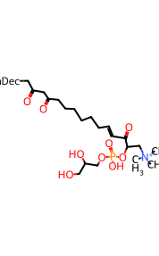 CCCCCCCCCCCC(=O)CC(=O)CCCCCCC=CC(=O)C(C[N+](C)(C)C)OP(=O)(O)OCC(O)CO